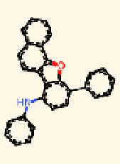 c1ccc(Nc2ccc(-c3ccccc3)c3oc4c5ccccc5ccc4c23)cc1